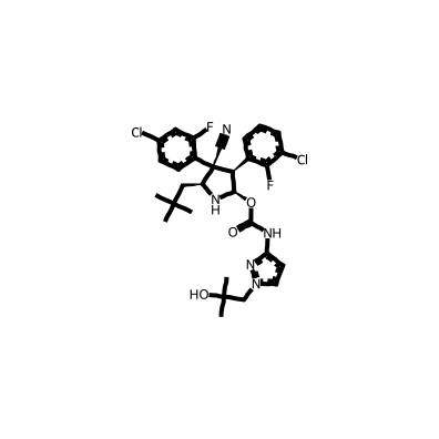 CC(C)(C)C[C@@H]1N[C@H](OC(=O)Nc2ccn(CC(C)(C)O)n2)[C@H](c2cccc(Cl)c2F)[C@@]1(C#N)c1ccc(Cl)cc1F